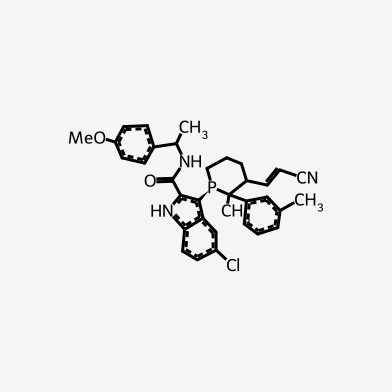 COc1ccc(C(C)NC(=O)c2[nH]c3ccc(Cl)cc3c2[P@@]2CCCC(C=CC#N)C2(C)c2cccc(C)c2)cc1